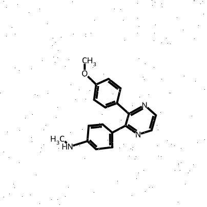 CNc1ccc(-c2nccnc2-c2ccc(OC)cc2)cc1